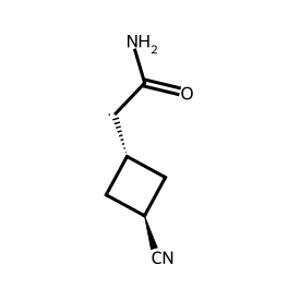 N#C[C@H]1C[C@H]([CH]C(N)=O)C1